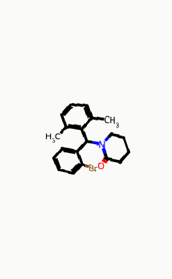 Cc1cccc(C)c1C(c1ccccc1Br)N1CCCCC1=O